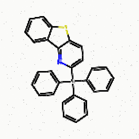 c1ccc([Si](c2ccccc2)(c2ccccc2)c2ccc3sc4ccccc4c3n2)cc1